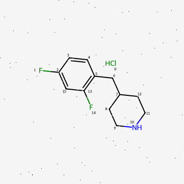 Cl.Fc1ccc(CC2CCNCC2)c(F)c1